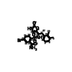 Cc1cccc([C@@H](C)[C@H](NS(=O)(=O)c2ccc(Br)cc2C(N)=O)c2n[nH]c(=O)o2)c1C